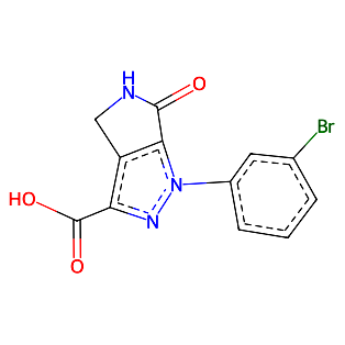 O=C(O)c1nn(-c2cccc(Br)c2)c2c1CNC2=O